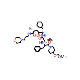 CCCC[C@H](NC(Cc1ccccc1)C(=O)N1CCC(OCOC)CC1)C(=O)N[C@@H](CC1CCCCC1)[C@@H](O)C[C@H](C(=O)NCCCN1CCOCC1)C(C)C